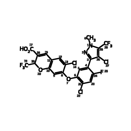 Cn1nc(-c2cc(Oc3cc4c(cc3Cl)C=C(C(=O)O)C(C(F)(F)F)O4)c(Cl)cc2F)c(Cl)c1C(F)(F)F